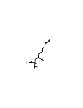 C=CC(=O)OCCCC(CC(F)(C(F)(F)F)C(F)(F)F)C(F)(F)F